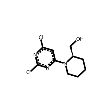 OC[C@H]1CCCCN1c1cc(Cl)nc(Cl)n1